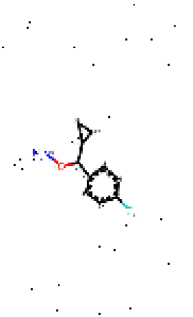 NOC(c1ccc(F)cc1)C1CC1